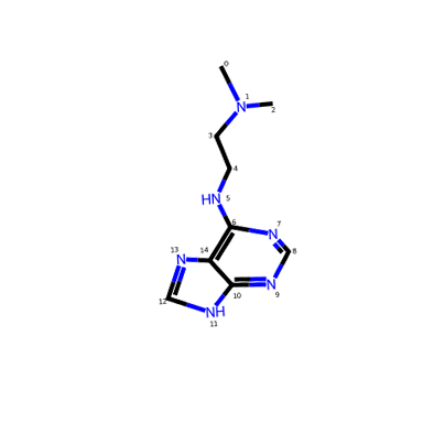 CN(C)CCNc1ncnc2[nH]cnc12